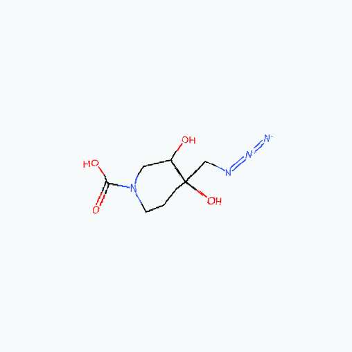 [N-]=[N+]=NCC1(O)CCN(C(=O)O)CC1O